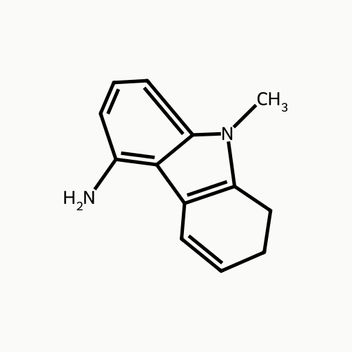 Cn1c2c(c3c(N)cccc31)C=CCC2